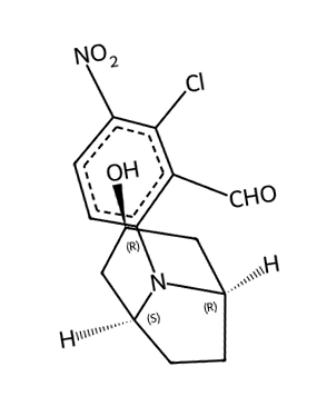 O=Cc1c(N2[C@@H]3CC[C@H]2C[C@@H](O)C3)ccc([N+](=O)[O-])c1Cl